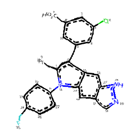 CC(C)c1c(-c2cc(Cl)cc(C(=O)O)c2)c2cc3[nH]ncc3cc2n1-c1ccc(F)cc1